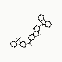 CN(c1ccc2c(c1)C(C)(C)c1ccccc1-2)c1ccc2c(c1)C(C)(C)c1cc(-n3c4ccccc4c4ccccc43)ccc1-2